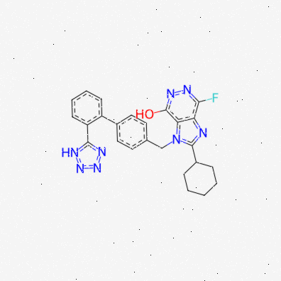 Oc1nnc(F)c2nc(C3CCCCC3)n(Cc3ccc(-c4ccccc4-c4nnn[nH]4)cc3)c12